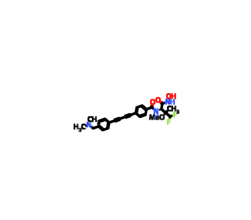 COC(C)(C(F)F)[C@H](NC(=O)c1ccc(C#CC#Cc2ccc(CN(C)C)cc2)cc1)C(=O)NO